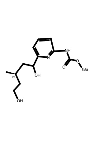 C[C@H](CCO)CC(O)c1cccc(NC(=O)OC(C)(C)C)n1